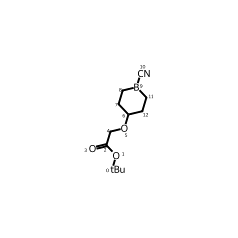 CC(C)(C)OC(=O)COC1CCB(C#N)CC1